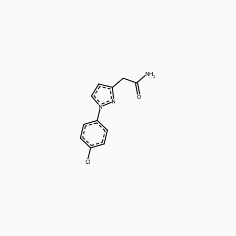 NC(=O)Cc1ccn(-c2ccc(Cl)cc2)n1